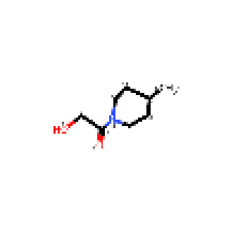 [CH2]C1CCN(C(=O)CO)CC1